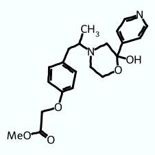 COC(=O)COc1ccc(CC(C)N2CCOC(O)(c3ccncc3)C2)cc1